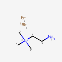 Br.C[N+](C)(C)CCN.[Br-]